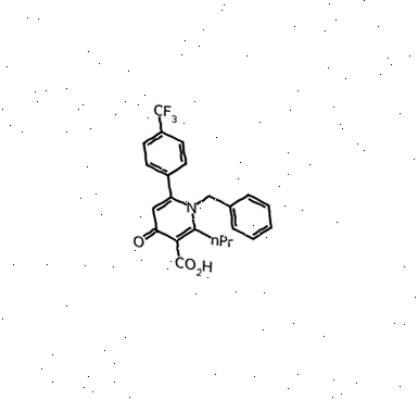 CCCc1c(C(=O)O)c(=O)cc(-c2ccc(C(F)(F)F)cc2)n1Cc1ccccc1